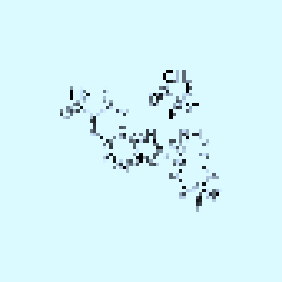 CC1CNC(=O)C1Cc1cnn2cc([C@@H](N)C3CCC(F)(F)CC3)nc2c1.O=C(O)C(F)(F)F